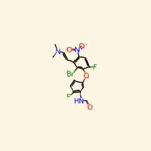 CN(C)/C=C/c1c([N+](=O)[O-])cc(F)c(Oc2ccc(F)c(NC=O)c2)c1Br